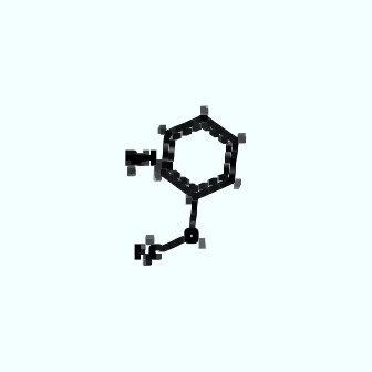 FC(F)(F)Oc1cc[c]cc1.[BeH2]